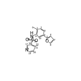 Cc1ccc(-c2ccco2)cc1NS(=O)(=O)c1cnccc1C